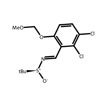 COCOc1ccc(Cl)c(Cl)c1C=N[S@@+]([O-])C(C)(C)C